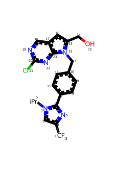 CC(C)n1cc(C(F)(F)F)nc1-c1ccc(Cn2c(CO)cc3cnc(Cl)nc32)cc1